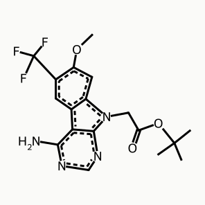 COc1cc2c(cc1C(F)(F)F)c1c(N)ncnc1n2CC(=O)OC(C)(C)C